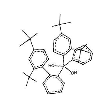 CC(C)(C)c1ccc(-c2ccccc2P(O)(O)(c2ccccc2)c2ccc(C(C)(C)C)cc2C(C)(C)C)c(C(C)(C)C)c1